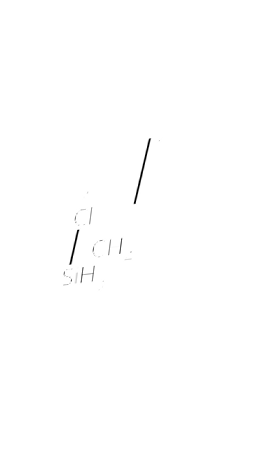 C.CC.[SiH3]Cl